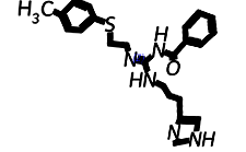 Cc1ccc(SCC/N=C(/NCCCc2c[nH]cn2)NC(=O)c2ccccc2)cc1